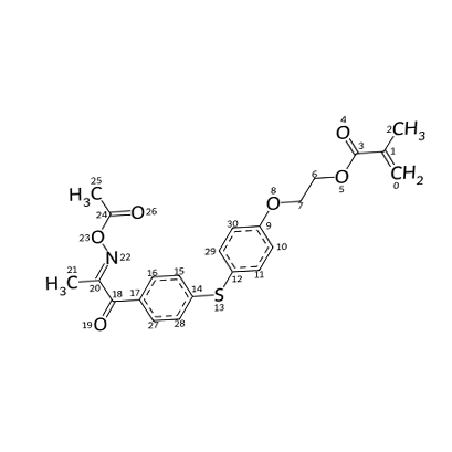 C=C(C)C(=O)OCCOc1ccc(Sc2ccc(C(=O)C(C)=NOC(C)=O)cc2)cc1